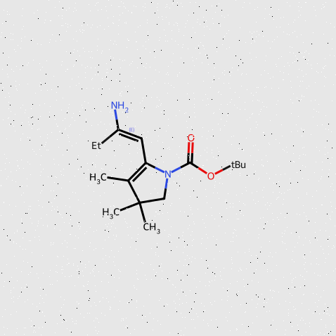 CC/C(N)=C\C1=C(C)C(C)(C)CN1C(=O)OC(C)(C)C